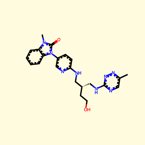 Cc1cnc(NC[C@H](CCO)CNc2ccc(-n3c(=O)n(C)c4ccccc43)cn2)nn1